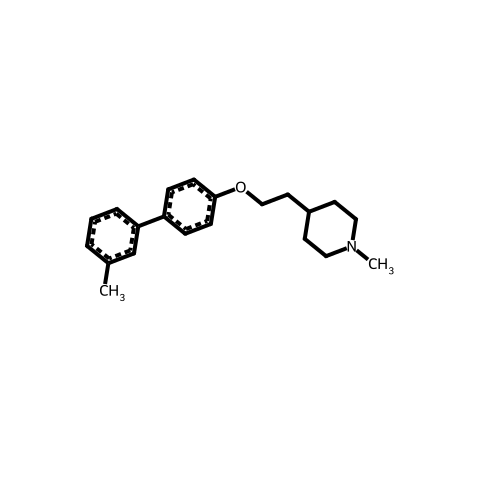 Cc1cccc(-c2ccc(OCCC3CCN(C)CC3)cc2)c1